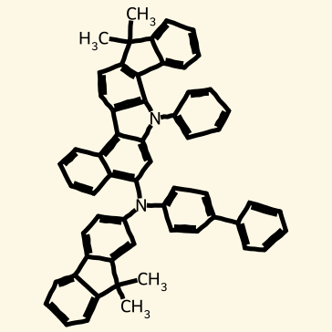 CC1(C)c2ccccc2-c2ccc(N(c3ccc(-c4ccccc4)cc3)c3cc4c(c5ccccc35)c3ccc5c(c3n4-c3ccccc3)-c3ccccc3C5(C)C)cc21